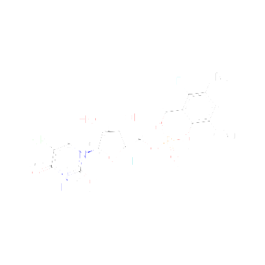 CC(C)(C)c1cc(C(C)(C)C)c2c(c1F)COP(=O)(OC[C@@]1(F)O[C@@H](n3cc(Cl)c(=O)[nH]c3=O)[C@H](O)[C@@H]1O)O2